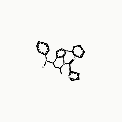 CC(=O)N(c1ccccc1)C1CC(C)N(C(=O)c2ccco2)c2c1cnn2-c1ccccc1